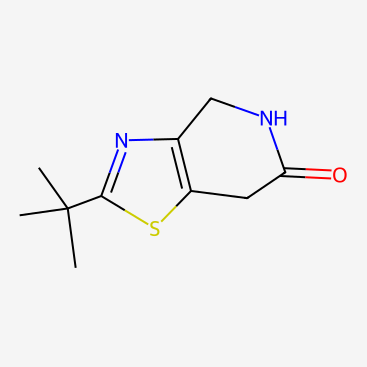 CC(C)(C)c1nc2c(s1)CC(=O)NC2